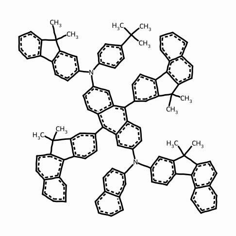 CC(C)(C)c1ccc(N(c2ccc3c(c2)C(C)(C)c2ccccc2-3)c2ccc3c(-c4ccc5c(c4)C(C)(C)c4ccc6ccccc6c4-5)c4cc(N(c5ccc6c(c5)C(C)(C)c5ccc7ccccc7c5-6)c5ccc6ccccc6c5)ccc4c(-c4ccc5c(c4)C(C)(C)c4ccc6ccccc6c4-5)c3c2)cc1